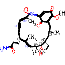 CC[C@H]1C[C@H](C)CC2=C(OC)C(=O)C=C(NC(=O)/C(C)=C/C=C\C[C@@H](CCC(N)=O)/C(C)=C/[C@H](C)[C@H]1O)C2=O